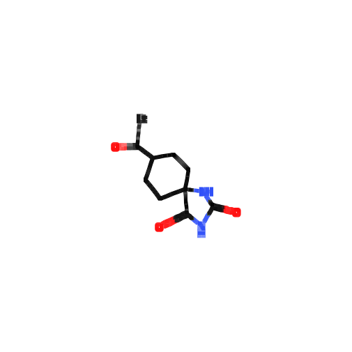 CCC(=O)C1CCC2(CC1)NC(=O)NC2=O